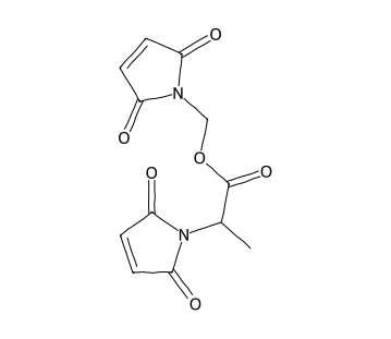 CC(C(=O)OCN1C(=O)C=CC1=O)N1C(=O)C=CC1=O